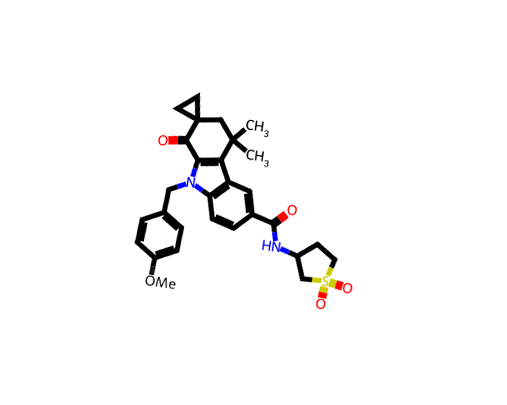 COc1ccc(Cn2c3c(c4cc(C(=O)NC5CCS(=O)(=O)C5)ccc42)C(C)(C)CC2(CC2)C3=O)cc1